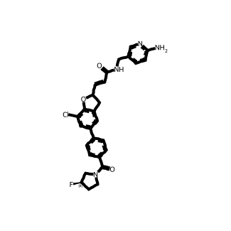 Nc1ccc(CNC(=O)C=CC2Cc3cc(-c4ccc(C(=O)N5CC[C@@H](F)C5)cc4)cc(Cl)c3O2)cn1